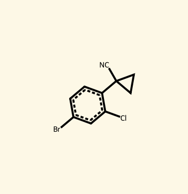 N#CC1(c2ccc(Br)cc2Cl)CC1